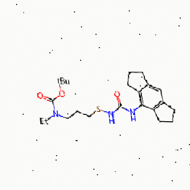 CCN(CCCSNC(=O)Nc1c2c(cc3c1CCC3)CCC2)C(=O)OC(C)(C)C